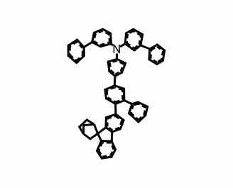 c1ccc(-c2cccc(N(c3ccc(-c4ccc(-c5ccc6c(c5)C5(CC7CCC5C7)c5ccccc5-6)c(-c5ccccc5)c4)cc3)c3cccc(-c4ccccc4)c3)c2)cc1